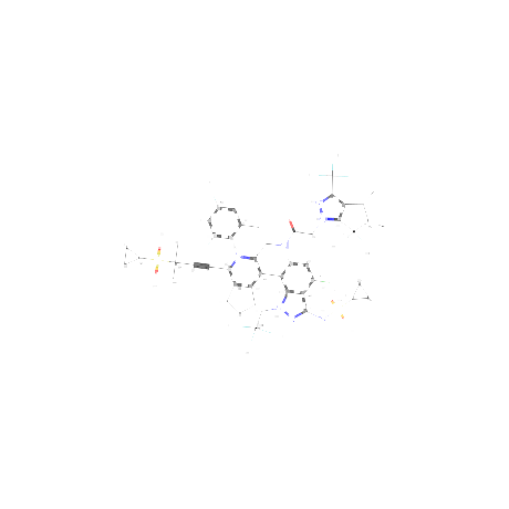 C[C@@H]1c2c(C(F)(F)F)nn(CC(=O)N[C@@H](Cc3cc(F)cc(F)c3)c3nc(C#CC(C)(C)S(=O)(=O)C4CC4)c4c(c3-c3ccc(Cl)c5c(NS(=O)(=O)C6CC6)nn(CC(F)(F)F)c35)CCC4)c2C(F)(F)[C@@H]1C